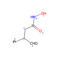 CC(C)C(C=O)CC(=O)NO